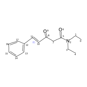 CCN(CC)C(=O)CC(=O)/C=C/c1ccccc1